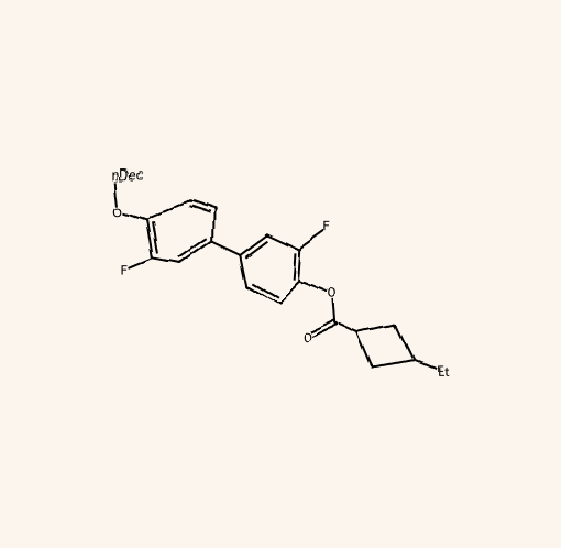 CCCCCCCCCCOc1ccc(-c2ccc(OC(=O)C3CC(CC)C3)c(F)c2)cc1F